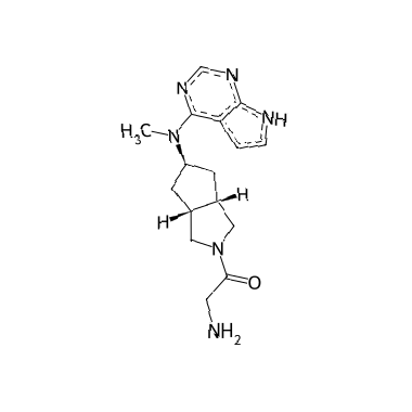 CN(c1ncnc2[nH]ccc12)[C@H]1C[C@@H]2CN(C(=O)CN)C[C@@H]2C1